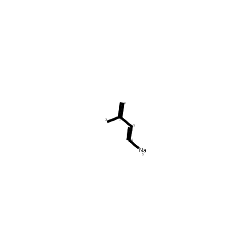 C=C(C)C=[CH][Na]